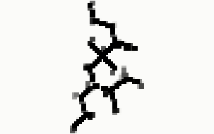 C=C(CCC)C(C)(C)CC(CCC)C(C)SC